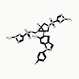 Cc1cc2c(cnn2-c2ccc(F)cc2)cc1[C@]12CN(S(=O)(=O)c3cnn(C)n3)C[C@H]1[C@@H]2COS(=O)(=O)c1cnn(C)n1